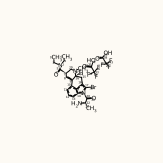 CCN(CC)C(=O)[C@@H]1C=C2c3cccc4c3c(c(Br)n4C(=O)[C@@H](C)N)C[C@H]2N(C)C1.O=C(O)C(F)(F)F.O=C(O)C(F)(F)F